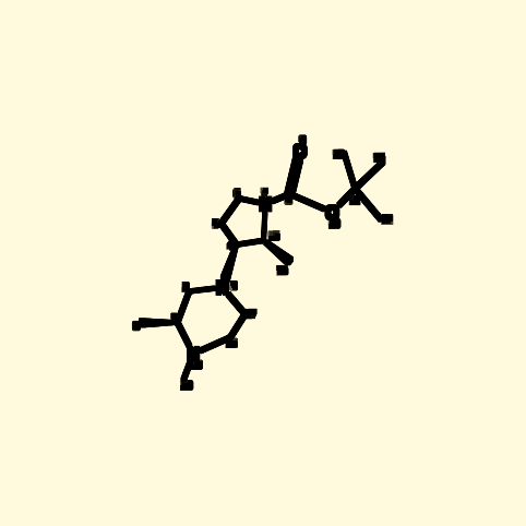 C[C@H]1CN([C@H]2CCN(C(=O)OC(C)(C)C)[C@H]2C)CCN1C